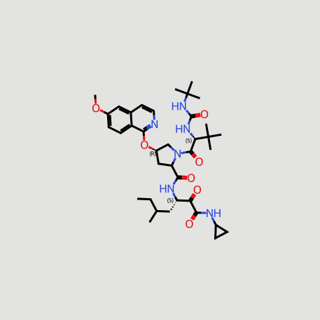 CCC(C)C[C@H](NC(=O)C1C[C@@H](Oc2nccc3cc(OC)ccc23)CN1C(=O)[C@@H](NC(=O)NC(C)(C)C)C(C)(C)C)C(=O)C(=O)NC1CC1